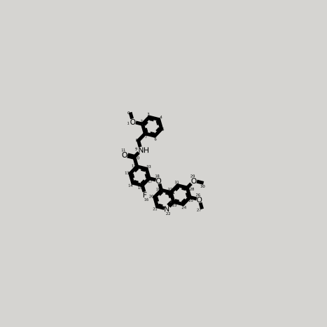 COc1ccccc1CNC(=O)c1ccc(F)c(Oc2ccnc3cc(OC)c(OC)cc23)c1